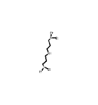 CCN(CC)CCCNCCCN(CC)CC